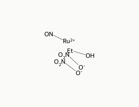 CCO.O=[N+]([O-])[O-].O=[N+]([O-])[O-].O=[N][Ru+2]